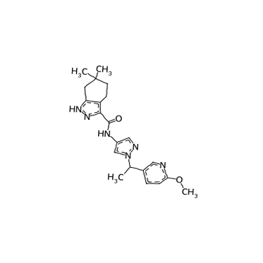 COc1ccc(C(C)n2cc(NC(=O)c3n[nH]c4c3CCC(C)(C)C4)cn2)cn1